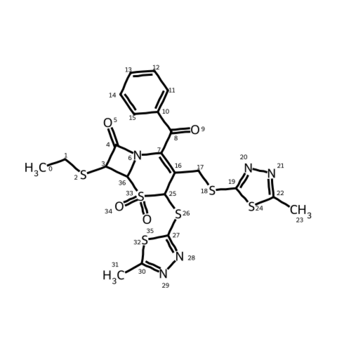 CCSC1C(=O)N2C(C(=O)c3ccccc3)=C(CSc3nnc(C)s3)C(Sc3nnc(C)s3)S(=O)(=O)C12